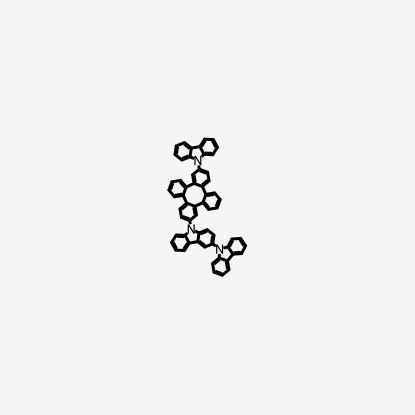 c1ccc2c(c1)-c1ccc(-n3c4ccccc4c4ccccc43)cc1-c1ccccc1-c1ccc(-n3c4ccccc4c4cc(-n5c6ccccc6c6ccccc65)ccc43)cc1-2